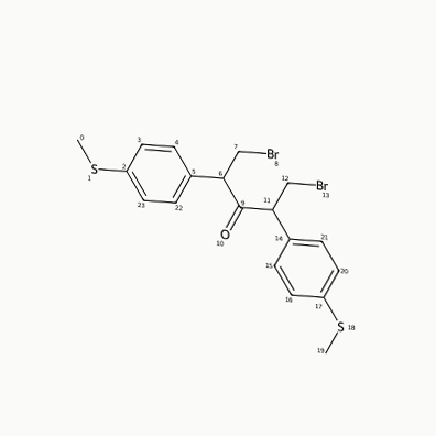 CSc1ccc(C(CBr)C(=O)C(CBr)c2ccc(SC)cc2)cc1